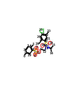 Cc1ccc(C)c(S(=O)(=O)OCCN(C(C)C)S(=O)(=O)c2cc(C)c(Cl)cc2C)c1